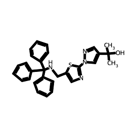 CC(C)(O)c1cnn(-c2ncc(CNC(c3ccccc3)(c3ccccc3)c3ccccc3)s2)c1